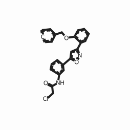 O=C(CCl)Nc1cccc(-c2cc(-c3ccccc3OCc3ccccc3)no2)c1